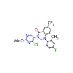 COc1ncc(N2CN(c3ccc(F)cc3C)c3ccc(C(F)(F)F)cc3C2=O)c(Cl)n1